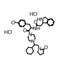 Cl.Cl.O=C(CC1NCc2ccccc21)NC(Cc1ccc(Cl)cc1)C(=O)N1CCN(C(CN2CCCC2=O)C2CCCCC2)CC1